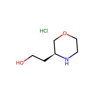 Cl.OCC[C@H]1COCCN1